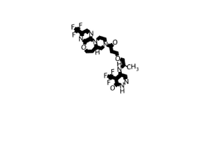 C[C@@H](COCCC(=O)N1CCN2c3ncc(C(F)(F)F)nc3OCC[C@H]2C1)Nc1cn[nH]c(=O)c1C(F)(F)F